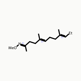 CC/C=C(\C)CC/C=C(\C)CC/C(C)=N/OC